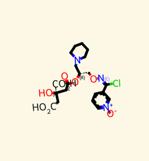 O=C(O)C[C@@](O)(CC(=O)O[C@@H](CO/N=C(/Cl)c1ccc[n+]([O-])c1)CN1CCCCC1)C(=O)O